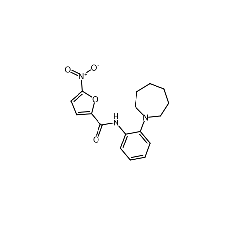 O=C(Nc1ccccc1N1CCCCCC1)c1ccc([N+](=O)[O-])o1